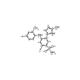 Cc1cc(I)ccc1Nc1cc(F)c(S(N)(=O)=O)cc1-c1nnc(O)[nH]1